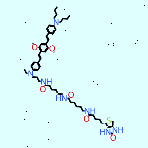 CCCCN(CCCC)c1ccc(/C=C/c2cc(OC)c(/C=C/c3ccc(N(CC)CCCNC(=O)CCCCCNC(=O)CCCCCNC(=O)CCCC[C@@H]4SCC5NC(=O)NC54)cc3)cc2OC)cc1